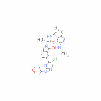 CCNc1cc(C(C)NC(=O)C(C)N2Cc3ccc(-c4nc(NC5CCOCC5)ncc4Cl)cc3C2=O)c(Cl)cn1